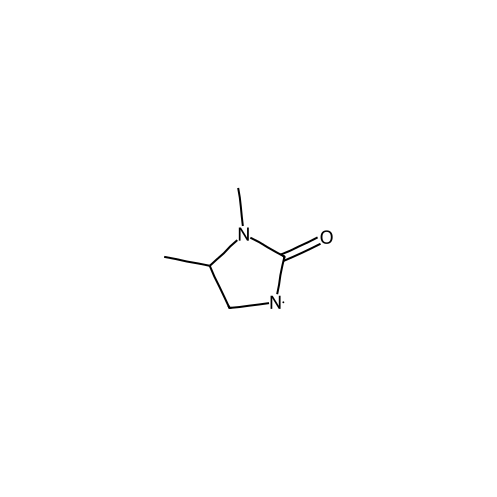 CC1C[N]C(=O)N1C